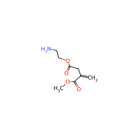 C=C(CC(=O)OCCN)C(=O)OC